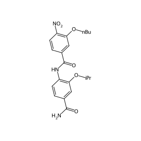 CCCCOc1cc(C(=O)Nc2ccc(C(N)=O)cc2OC(C)C)ccc1[N+](=O)[O-]